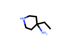 CCC1(N)CCNCC1